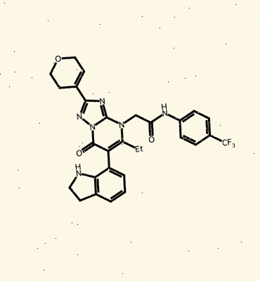 CCc1c(-c2cccc3c2NCC3)c(=O)n2nc(C3=CCOCC3)nc2n1CC(=O)Nc1ccc(C(F)(F)F)cc1